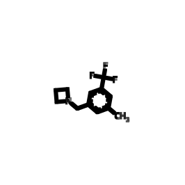 Cc1cc(CN2CCC2)cc(C(F)(F)F)c1